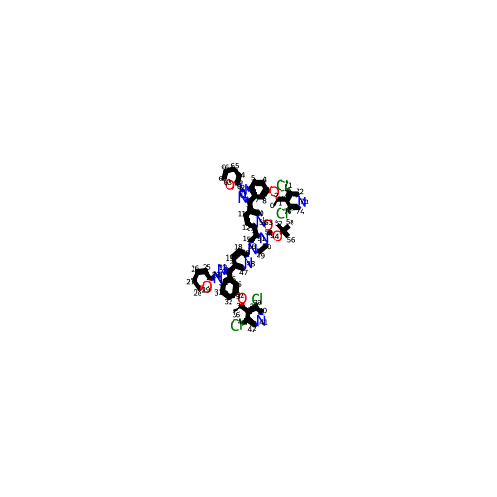 C[C@@H](Oc1ccc2c(c1)c(-c1ccc(C3CN(c4ccc(-c5nn(C6CCCCO6)c6ccc(O[C@H](C)c7c(Cl)cncc7Cl)cc56)cn4)CCN3C(=O)OC(C)(C)C)nc1)nn2C1CCCCO1)c1c(Cl)cncc1Cl